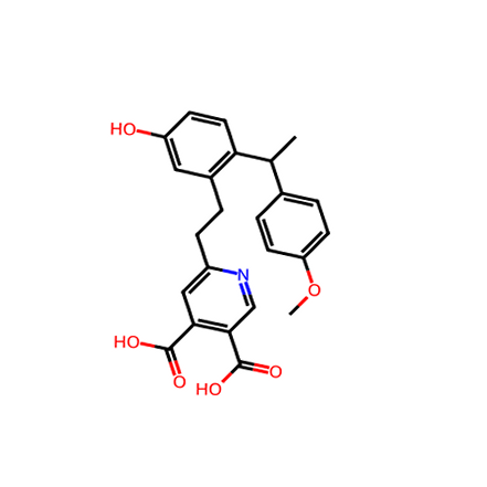 COc1ccc(C(C)c2ccc(O)cc2CCc2cc(C(=O)O)c(C(=O)O)cn2)cc1